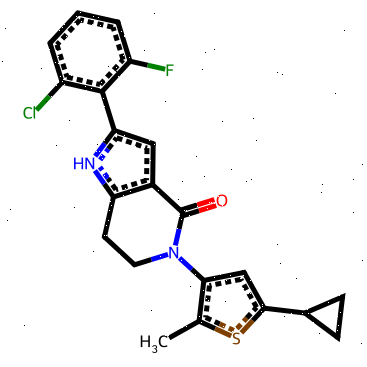 Cc1sc(C2CC2)cc1N1CCc2[nH]c(-c3c(F)cccc3Cl)cc2C1=O